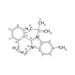 Cc1ccc2c(c1)n(C(C)(C)C)c(-c1ccccc1C)[n+]2C